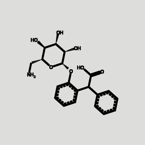 NC[C@H]1O[C@@H](Oc2ccccc2C(C(=O)O)c2ccccc2)[C@@H](O)[C@@H](O)[C@@H]1O